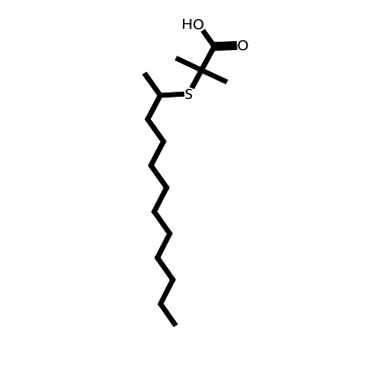 CCCCCCCCCCC(C)SC(C)(C)C(=O)O